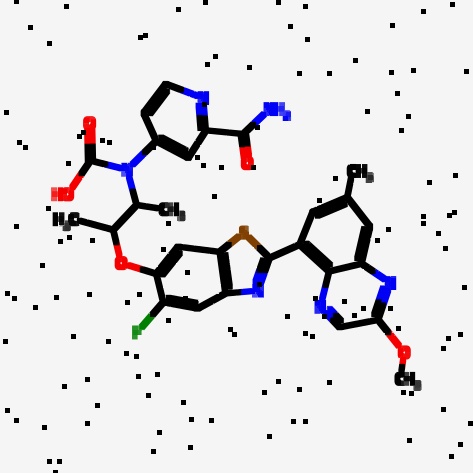 COc1cnc2c(-c3nc4cc(F)c(OC(C)C(C)N(C(=O)O)c5ccnc(C(N)=O)c5)cc4s3)cc(C)cc2n1